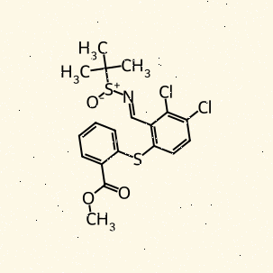 COC(=O)c1ccccc1Sc1ccc(Cl)c(Cl)c1C=N[S+]([O-])C(C)(C)C